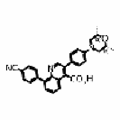 C[C@@H]1CN(c2ccc(-c3cnc4c(-c5ccc(C#N)cc5)cccc4c3C(=O)O)cc2)C[C@H](C)O1